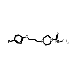 CNC(=S)N1CCN(CCCOc2ccc(F)cc2)CC1